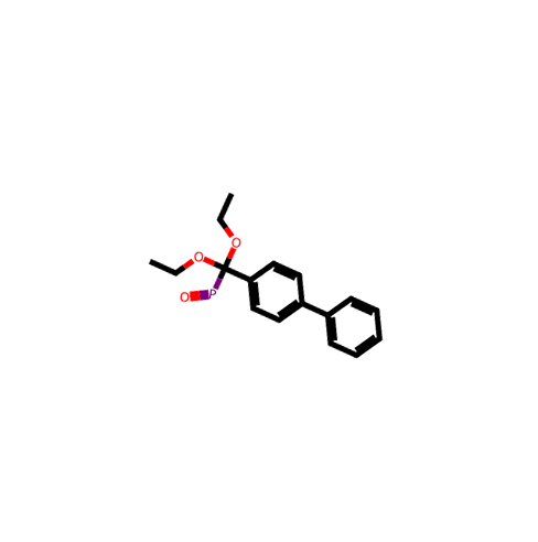 CCOC(OCC)(P=O)c1ccc(-c2ccccc2)cc1